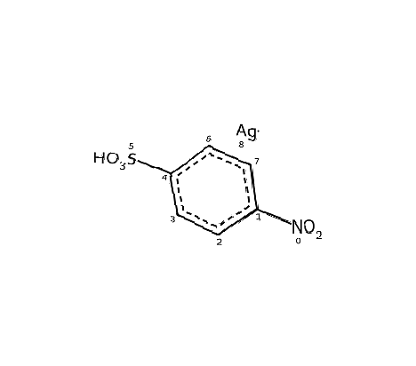 O=[N+]([O-])c1ccc(S(=O)(=O)O)cc1.[Ag]